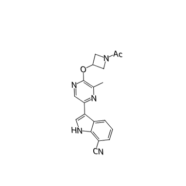 CC(=O)N1CC(Oc2ncc(-c3c[nH]c4c(C#N)cccc34)nc2C)C1